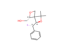 CC1(C)O[C@@H]([C@@H](I)c2ccccc2)C12CO[C@H]2CO